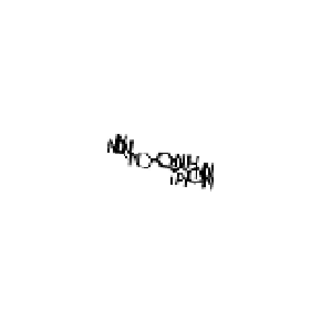 CC(C)c1c(-c2ccc3ncnn3c2)[nH]c2ccc(C3CCN(Cc4cn(C)nn4)CC3)cc12